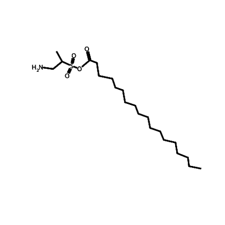 CCCCCCCCCCCCCCCCCC(=O)OS(=O)(=O)C(C)CN